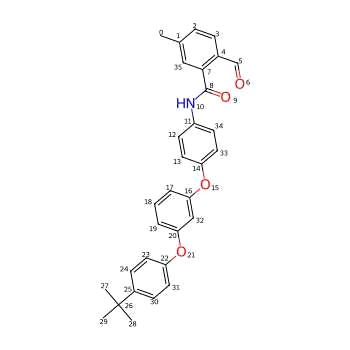 Cc1ccc(C=O)c(C(=O)Nc2ccc(Oc3cccc(Oc4ccc(C(C)(C)C)cc4)c3)cc2)c1